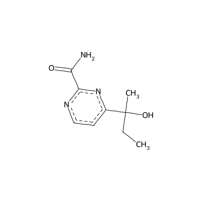 CCC(C)(O)c1ccnc(C(N)=O)n1